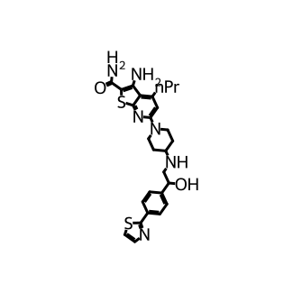 CCCc1cc(N2CCC(NCC(O)c3ccc(-c4nccs4)cc3)CC2)nc2sc(C(N)=O)c(N)c12